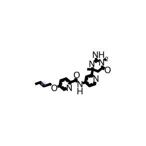 C/C=C/COc1ccc(C(=O)Nc2ccnc(C3(C)CC(=O)N(C)C(N)=N3)c2)nc1